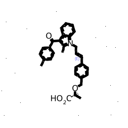 Cc1ccc(C(=O)c2c(C)n(C/C=C/c3ccc(CO[C@H](C)C(=O)O)cc3)c3ccccc23)cc1